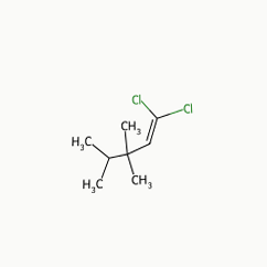 CC(C)C(C)(C)C=C(Cl)Cl